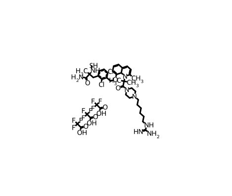 CC1=CC=C2C=CC=C(OCc3c(Cl)ccc(CC(C)(NS)C(N)=O)c3Cl)C2N1C(C)(C)C(=O)N1CCN(CCCCCCNC(=N)N)CC1.O=C(O)C(F)(F)F.O=C(O)C(F)(F)F.O=C(O)C(F)(F)F